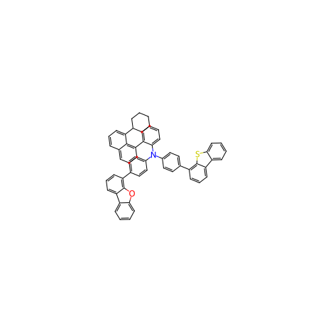 c1ccc(N(c2ccc(-c3cccc4c3oc3ccccc34)cc2)c2ccc(-c3cccc4c3sc3ccccc34)cc2)c(-c2cccc3cccc(C4CCCCC4)c23)c1